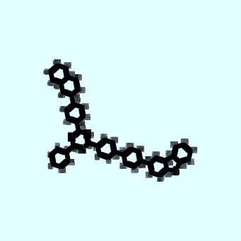 c1ccc(-c2nc(-c3ccc(-c4ccc(-c5ccc6sc7ccccc7c6c5)cc4)cc3)nc(-c3ccc(-c4ccc5ccccc5c4)cc3)n2)cc1